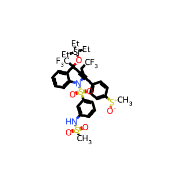 CC[Si](CC)(CC)OC(C#Cc1ccc([S+](C)[O-])cc1)(c1ccccc1N(CCC(F)(F)F)S(=O)(=O)c1cccc(NS(C)(=O)=O)c1)C(F)(F)F